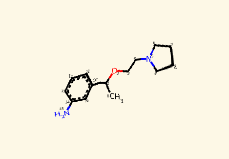 CC(OCCN1CCCC1)c1cccc(N)c1